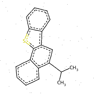 CC(C)c1cc2c3ccccc3sc2c2ccccc12